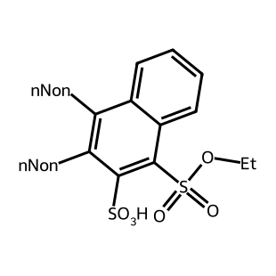 CCCCCCCCCc1c(S(=O)(=O)O)c(S(=O)(=O)OCC)c2ccccc2c1CCCCCCCCC